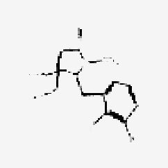 C[C@@H]1CC(N)(CO)C(Cc2cccc(Br)c2F)N1C(=O)O